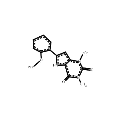 CCCOc1ccccc1-c1cc2c([nH]1)c(=O)n(C)c(=O)n2CCC